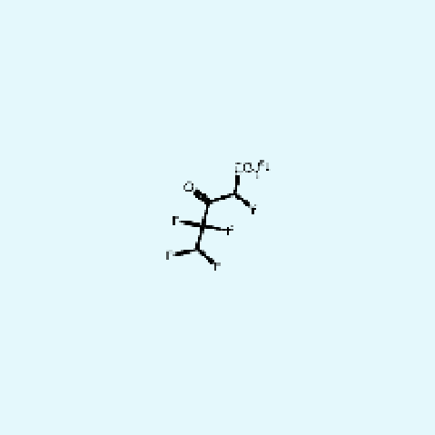 CCOC(=O)C(F)C(=O)C(F)(F)C(F)F